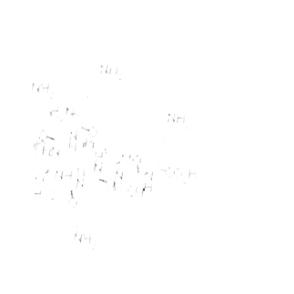 CC(C)C[C@H](NC(=O)[C@H](CCCCN)NC(=O)[C@H](C)NC(=O)[C@H](CC(C)C)NC(=O)[C@H](CCCCN)NC(=O)[C@@H](N)CCCCN)C(=O)N[C@@H](C)C(=O)N[C@@H](CCCCN)C(=O)O